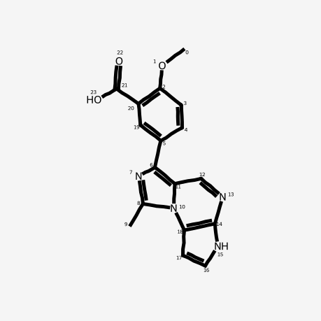 COc1ccc(-c2nc(C)n3c2cnc2[nH]ccc23)cc1C(=O)O